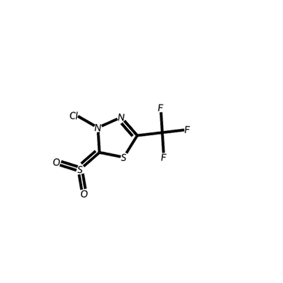 O=S(=O)=c1sc(C(F)(F)F)nn1Cl